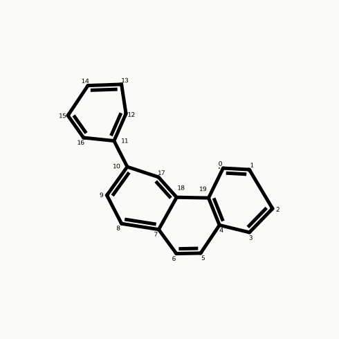 [c]1cccc2ccc3ccc(-c4ccccc4)cc3c12